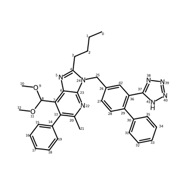 CCCCc1nc2c(C(OC)OC)c(-c3ccccc3)c(C)nc2n1Cc1ccc(-c2ccccc2)c(-c2nnn[nH]2)c1